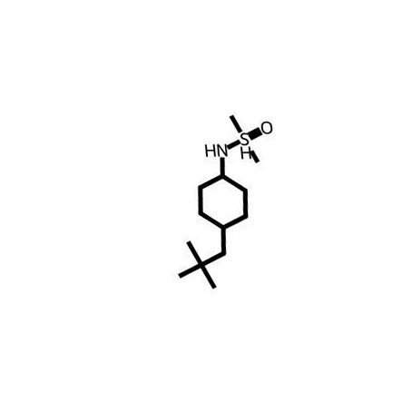 CC(C)(C)CC1CCC(N[SH](C)(C)=O)CC1